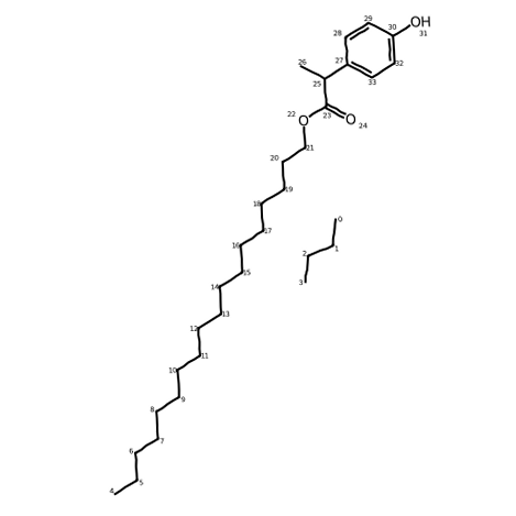 CCCC.CCCCCCCCCCCCCCCCCCOC(=O)C(C)c1ccc(O)cc1